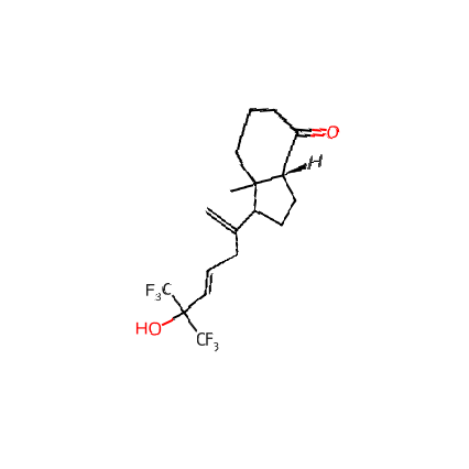 C=C(CC=CC(O)(C(F)(F)F)C(F)(F)F)C1CC[C@H]2C(=O)CCCC12C